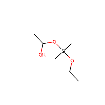 CCO[Si](C)(C)OC(C)O